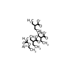 CCC(CC)C(=O)[O-].CCC(CC)C(=O)[O-].CCC(CC)C(=O)[O-].CCOC(C)=O.[Al+3]